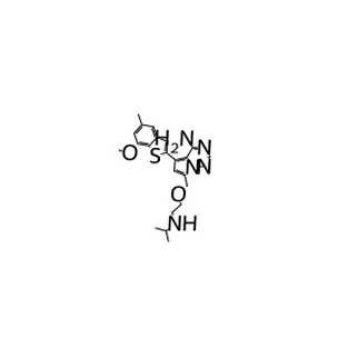 COc1cc(C)cc2cc(-c3cc(COCCNC(C)C)n4ncnc(N)c34)sc12